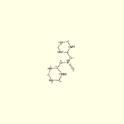 O=[PH](OC1NCNCN1)OC1NCNCN1